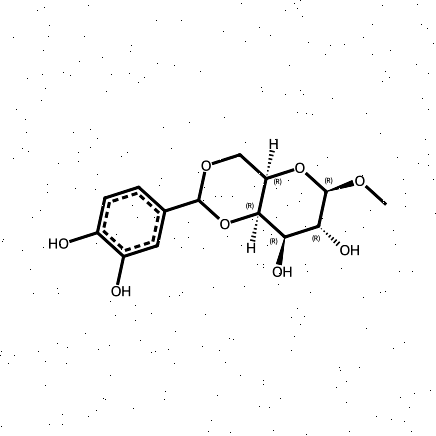 CO[C@@H]1O[C@@H]2COC(c3ccc(O)c(O)c3)O[C@@H]2[C@H](O)[C@H]1O